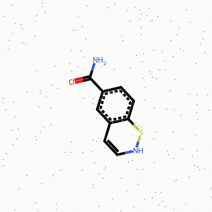 NC(=O)c1ccc2c(c1)C=CNS2